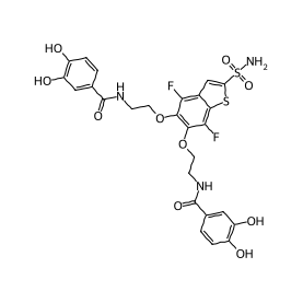 NS(=O)(=O)c1cc2c(F)c(OCCNC(=O)c3ccc(O)c(O)c3)c(OCCNC(=O)c3ccc(O)c(O)c3)c(F)c2s1